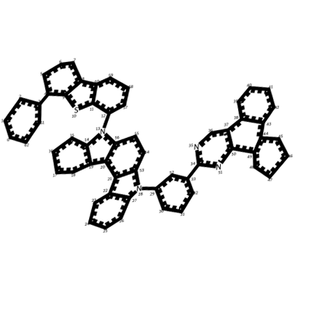 c1ccc(-c2cccc3c2sc2c(-n4c5ccccc5c5c6c7ccccc7n(-c7cccc(-c8ncc9c%10ccccc%10c%10ccccc%10c9n8)c7)c6ccc54)cccc23)cc1